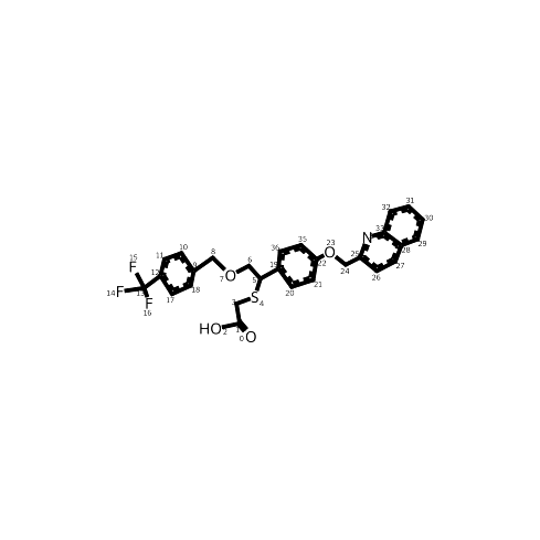 O=C(O)CSC(COCc1ccc(C(F)(F)F)cc1)c1ccc(OCc2ccc3ccccc3n2)cc1